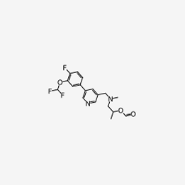 CC(CN(C)Cc1cncc(-c2ccc(F)c(OC(F)F)c2)c1)OC=O